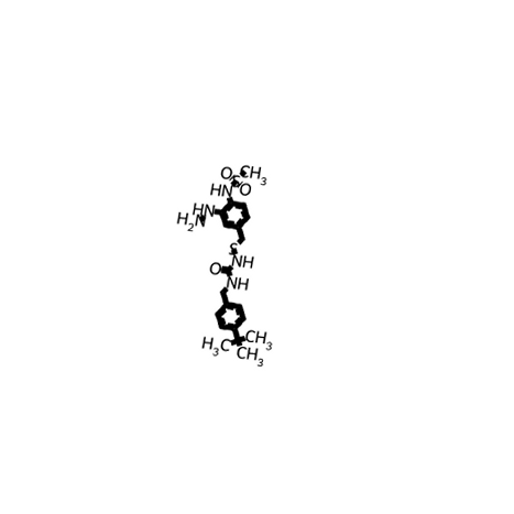 CC(C)(C)c1ccc(CNC(=O)NSCc2ccc(NS(C)(=O)=O)c(NN)c2)cc1